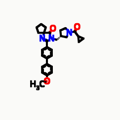 COc1ccc(-c2ccc(C3=NC4(CCCC4)C(=O)N3C[C@@H]3CCN(C(=O)C4CC4)C3)cc2)cc1